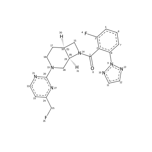 O=C(c1c(F)cccc1-n1nccn1)N1C[C@@H]2CCN(c3nccc(CF)n3)C[C@@H]21